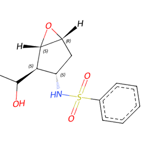 CC(O)[C@H]1[C@@H]2O[C@@H]2C[C@@H]1NS(=O)(=O)c1ccccc1